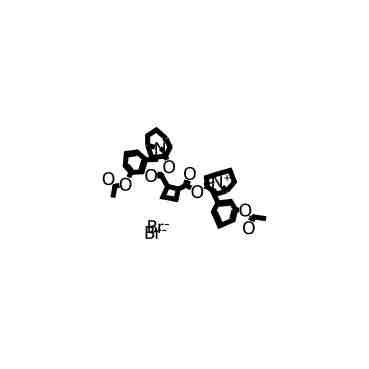 CC(=O)Oc1cccc(C[N+]2(C)C3CCC2CC(OC(=O)C2CCC2C(=O)O[C@H]2CC4CCC(C2)[N@@+]4(C)Cc2cccc(OC(C)=O)c2)C3)c1.[Br-].[Br-]